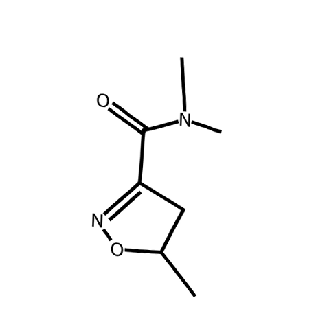 CC1CC(C(=O)N(C)C)=NO1